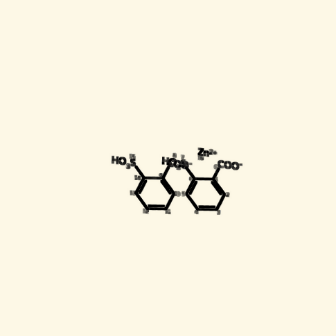 O=C([O-])c1ccccc1S(=O)(=O)O.O=C([O-])c1ccccc1S(=O)(=O)O.[Zn+2]